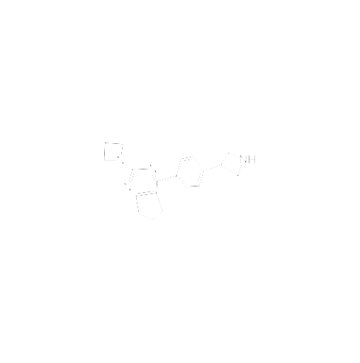 c1cc(C2CNC2)ccc1-c1nc(N2CCC2)nc2c1CCC2